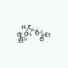 C=C(COCC(=O)CC)COCC(=O)CC